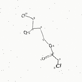 O=C(CCl)OCCC(Cl)CCl